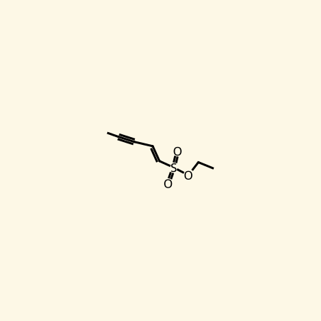 CC#CC=CS(=O)(=O)OCC